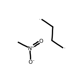 C[N+](=O)[O-].[CH2]CC[CH2]